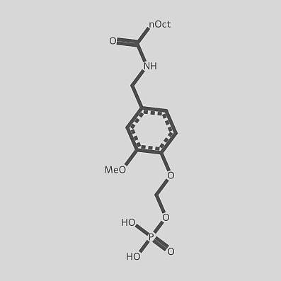 CCCCCCCCC(=O)NCc1ccc(OCOP(=O)(O)O)c(OC)c1